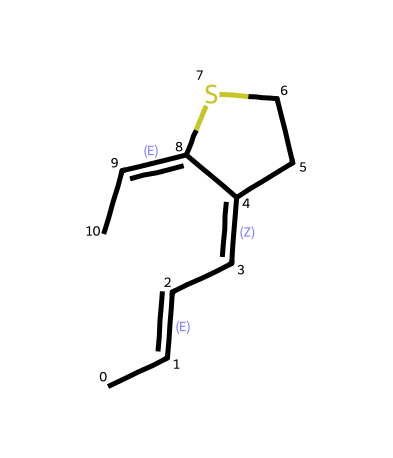 C/C=C/C=C1/CCS/C1=C/C